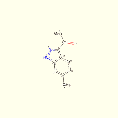 COC(=O)c1n[nH]c2cc(OC)ccc12